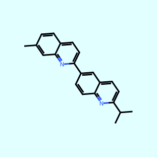 Cc1ccc2ccc(-c3ccc4nc(C(C)C)ccc4c3)nc2c1